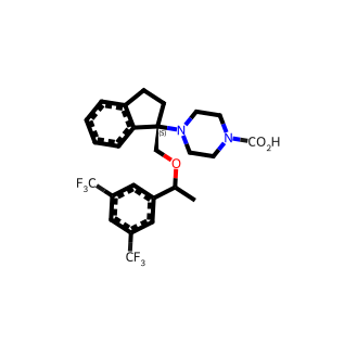 CC(OC[C@]1(N2CCN(C(=O)O)CC2)CCc2ccccc21)c1cc(C(F)(F)F)cc(C(F)(F)F)c1